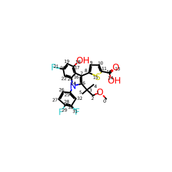 COCC(C)(C)c1c(-c2ccc(C(=O)O)s2)c2c(O)cc(F)cc2n1-c1ccc(F)c(F)c1